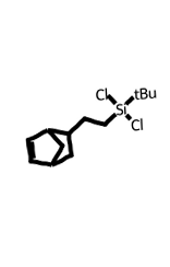 CC(C)(C)[Si](Cl)(Cl)CCC1CC2C=CC1C2